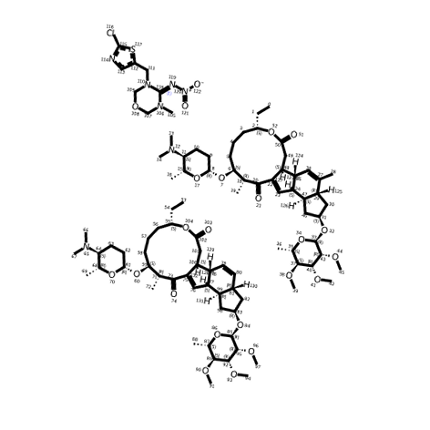 CC[C@H]1CCC[C@H](O[C@H]2CC[C@H](N(C)C)[C@@H](C)O2)[C@@H](C)C(=O)C2=C[C@@H]3[C@@H](C=C(C)[C@@H]4C[C@@H](O[C@@H]5O[C@@H](C)[C@H](OC)[C@@H](OC)[C@H]5OC)C[C@@H]34)[C@@H]2CC(=O)O1.CC[C@H]1CCC[C@H](O[C@H]2CC[C@H](N(C)C)[C@@H](C)O2)[C@@H](C)C(=O)C2=C[C@@H]3[C@@H](C=C[C@@H]4C[C@@H](O[C@@H]5O[C@@H](C)[C@H](OC)[C@@H](OC)[C@H]5OC)C[C@@H]34)[C@@H]2CC(=O)O1.CN1COCN(Cc2cnc(Cl)s2)/C1=N/[N+](=O)[O-]